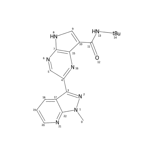 Cn1nc(-c2cnc3[nH]cc(C(=O)NC(C)(C)C)c3n2)c2cccnc21